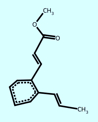 CC=Cc1ccccc1/C=C/C(=O)OC